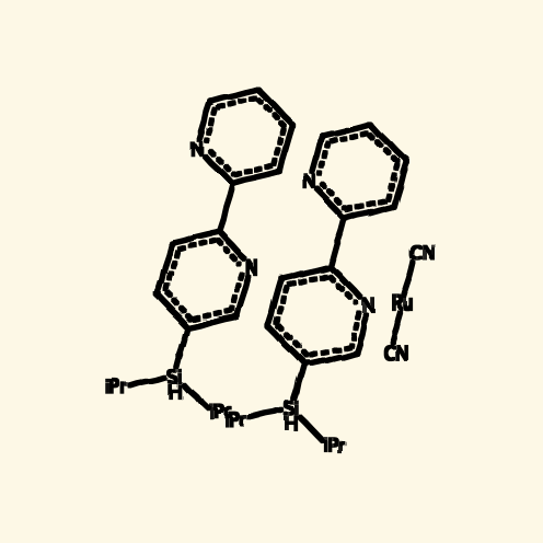 CC(C)[SiH](c1ccc(-c2ccccn2)nc1)C(C)C.CC(C)[SiH](c1ccc(-c2ccccn2)nc1)C(C)C.N#[C][Ru][C]#N